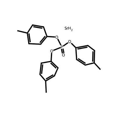 Cc1ccc(OP(=O)(Oc2ccc(C)cc2)Oc2ccc(C)cc2)cc1.[SrH2]